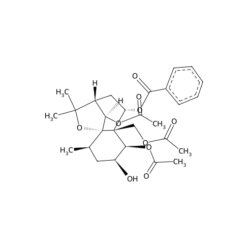 CC(=O)OC[C@]12[C@@H](OC(=O)c3ccccc3)C[C@@H]3[C@@H](OC(C)=O)[C@]1(OC3(C)C)[C@H](C)C[C@H](O)[C@@H]2OC(C)=O